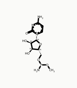 COP(N)OC[C@H]1O[C@@H](n2ccc(N)nc2=O)[C@H](O)[C@@H]1O